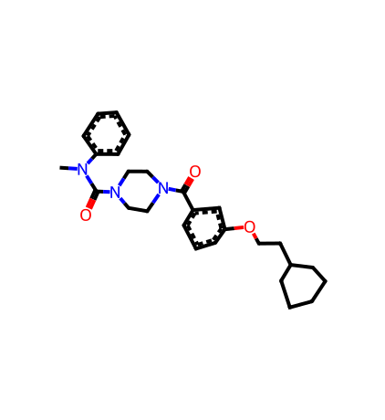 CN(C(=O)N1CCN(C(=O)c2cccc(OCCC3CCCCC3)c2)CC1)c1ccccc1